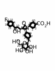 O=C(O)c1ccc(N2C(=O)[C@H](CC[C@H](O)c3ccc(F)cc3)[C@H]2c2ccc(C[C@@H]3O[C@H](CO)[C@@H](O)[C@H](O)[C@@H]3O)cc2)cc1